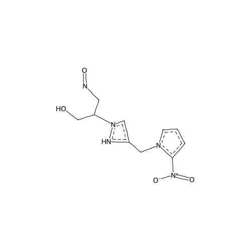 O=NCC(CO)n1cc(Cn2cccc2[N+](=O)[O-])[nH]1